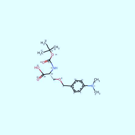 CN(C)c1ccc(COC[C@@H](NC(=O)OC(C)(C)C)C(=O)O)cc1